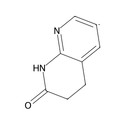 O=C1CCc2c[c]cnc2N1